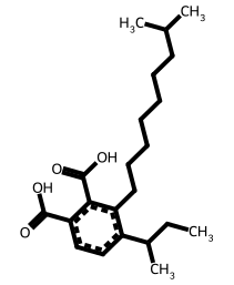 CCC(C)c1ccc(C(=O)O)c(C(=O)O)c1CCCCCCCC(C)C